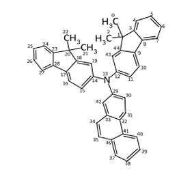 CC1(C)c2ccccc2-c2ccc(N(c3ccc4c(c3)C(C)(C)c3ccccc3-4)c3ccc4c(ccc5ccccc54)c3)cc21